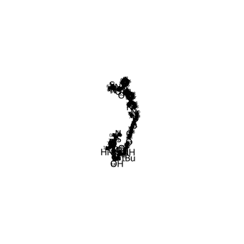 Cc1ncsc1-c1ccc(C(C)NC(=O)[C@@H]2C[C@@H](O)CN2C(=O)C(NC(=O)CCOCCOCCOCCN2CCN(c3ccc(-c4ccc5c(c4)C(=O)N(C(C(=O)Nc4nccs4)c4ccccc4)C5)cn3)CC2)C(C)(C)C)cc1